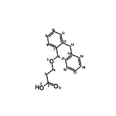 O=C(O)CCOCc1ccccc1Cc1ccccc1